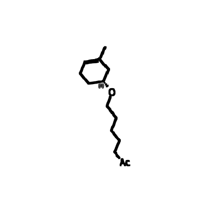 CC(=O)CCCCCO[C@@H]1CCC=C(C)C1